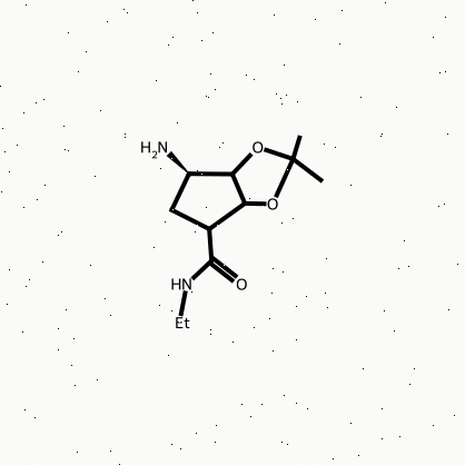 CCNC(=O)C1C[C@@H](N)C2OC(C)(C)OC12